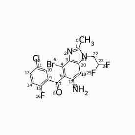 Cc1nc2c(Br)c(C(=O)c3cc(Cl)ccc3F)c(N)cc2n1CC(F)F